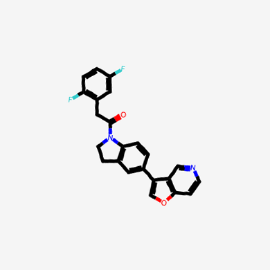 O=C(Cc1cc(F)ccc1F)N1CCc2cc(-c3coc4ccncc34)ccc21